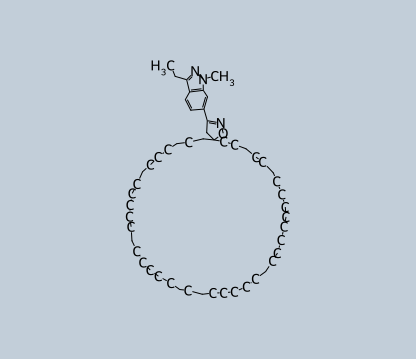 CCc1nn(C)c2cc(C3=NOC4(CCCCCCCCCCCCCCCCCCCCCCCCCCCCCCCCCCCCCCCCC4)C3)ccc12